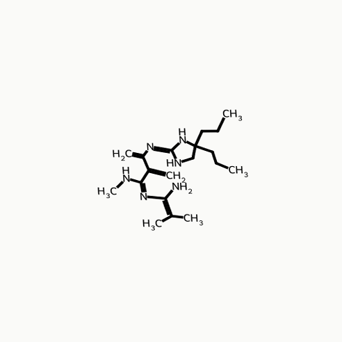 C=C(/N=C1\NCC(CCC)(CCC)N1)C(=C)/C(=N\C(N)=C(C)C)NC